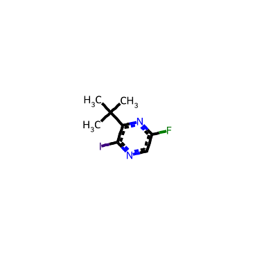 CC(C)(C)c1nc(F)cnc1I